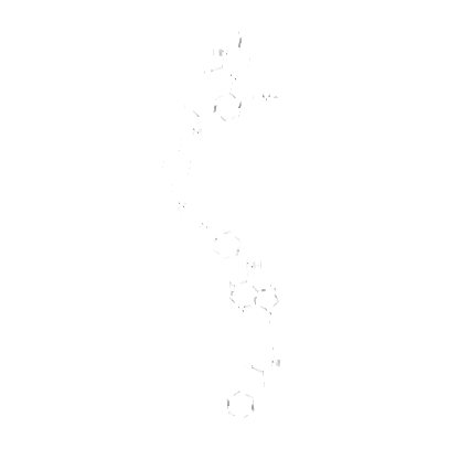 COc1ccc(C(=O)NCC2CCC(CN3CCN(c4ccc(Nc5ncnc6c5ncn6C5CC(NC(=O)Cc6ccccc6)C5)cc4)CC3)CC2)cc1N1CCC(=O)NC1=O